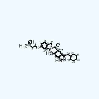 CN(C)CCOc1ccc2c(c1)CN(C(=O)c1cc3c(CC4CCCCC4)n[nH]c3cc1O)C2